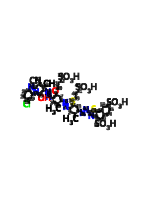 Cc1cc(N=Nc2cc(OCCCS(=O)(=O)O)c(N=Nc3c(C)c(C#N)c4nc5ccc(Cl)cc5n4c3O)cc2C)c(SCCCS(=O)(=O)O)cc1N=Nc1nc2c(S(=O)(=O)O)cc3ccc(S(=O)(=O)O)cc3c2s1